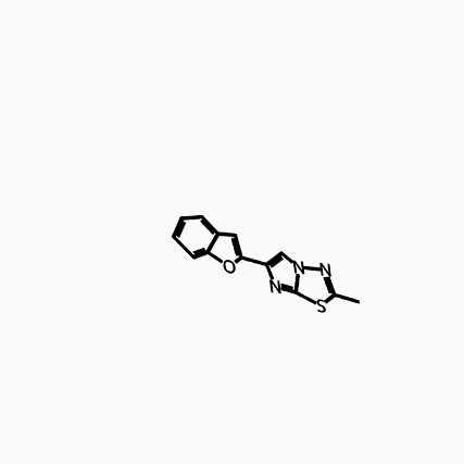 Cc1nn2cc(-c3cc4ccccc4o3)nc2s1